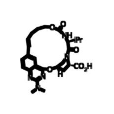 CC(C)[C@@H]1NC(=O)OCCC/C=C/c2ccc3nc(N(C)C)nc(c3c2)O[C@@H]2C[C@@H](C(=O)O)N(C2)C1=O